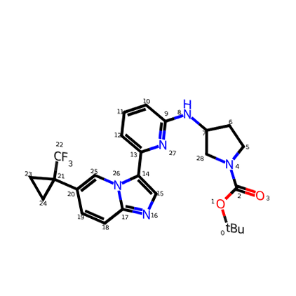 CC(C)(C)OC(=O)N1CCC(Nc2cccc(-c3cnc4ccc(C5(C(F)(F)F)CC5)cn34)n2)C1